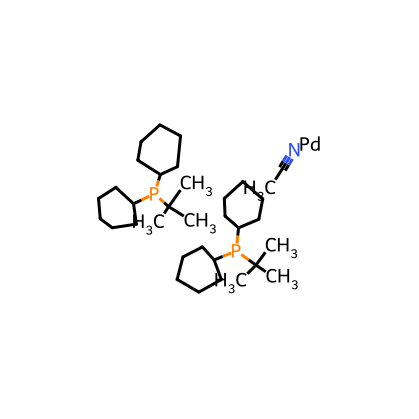 CC#N.CC(C)(C)P(C1CCCCC1)C1CCCCC1.CC(C)(C)P(C1CCCCC1)C1CCCCC1.[Pd]